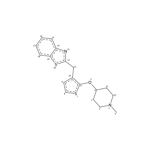 CN1CCC(Oc2sccc2Cc2nc3ccccc3s2)CC1